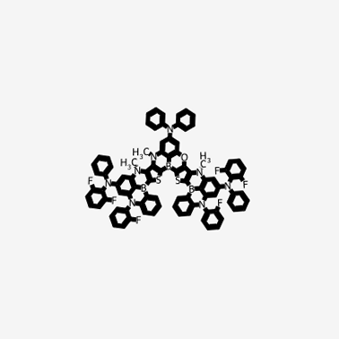 CN1c2cc(N(c3ccccc3)c3c(F)cccc3F)cc3c2B(c2ccccc2N3c2ccccc2F)c2sc3c(c21)Oc1cc(N(c2ccccc2)c2ccccc2)cc2c1B3c1sc3c(c1N2C)N(C)c1cc(N(c2ccccc2)c2c(F)cccc2F)cc2c1B3c1ccccc1N2c1ccccc1F